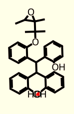 CC1OC1(C)C(C)(C)Oc1ccccc1C(c1ccccc1O)C(c1ccccc1O)c1ccccc1O